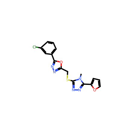 Cn1c(SCc2nnc(-c3cccc(Cl)c3)o2)nnc1-c1ccco1